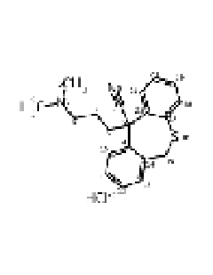 CN(C)CCCC1(C#N)c2ccccc2CSc2ccccc21.Cl